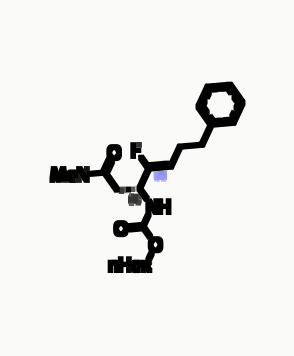 CCCCCCOC(=O)N[C@H](CC(=O)NC)/C(F)=C/CCc1ccccc1